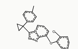 Cc1ccc(C2(c3nnc4c(Oc5ccccc5Cl)cccn34)CC2)cc1